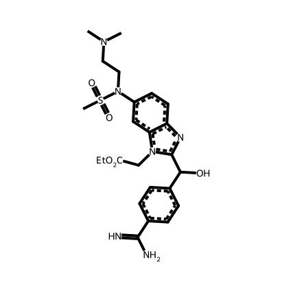 CCOC(=O)Cn1c(C(O)c2ccc(C(=N)N)cc2)nc2ccc(N(CCN(C)C)S(C)(=O)=O)cc21